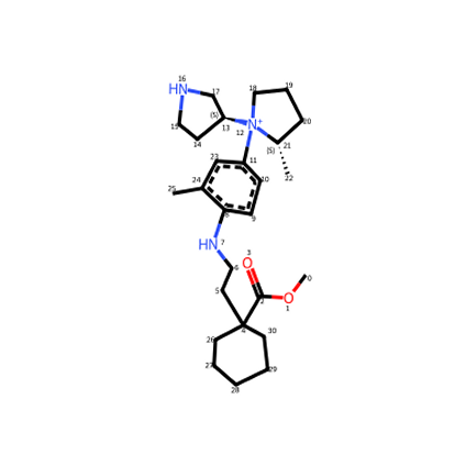 COC(=O)C1(CCNc2ccc([N+]3([C@H]4CCNC4)CCC[C@@H]3C)cc2C)CCCCC1